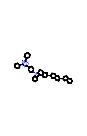 c1ccc(-c2nc(-c3ccccc3)nc(-c3ccc(-n4c5ccccc5c5c6ccc(-c7ccc8cc(-c9ccc%10ccccc%10c9)ccc8c7)cc6ccc54)cc3)n2)cc1